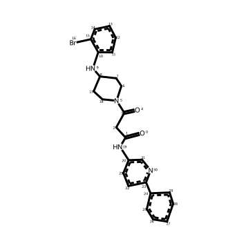 O=C(CC(=O)N1CCC(Nc2ccccc2Br)CC1)Nc1ccc(-c2ccccc2)nc1